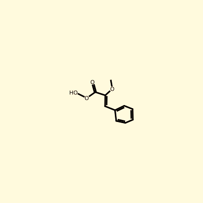 COC(=Cc1ccccc1)C(=O)OO